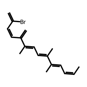 C=C(Br)/C=C\C(=C)/C(C)=C/C=C(C)/C(C)=C/C=C\C